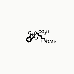 CONCCCCC(ON1C(=O)c2ccccc2C1=O)C(=O)O